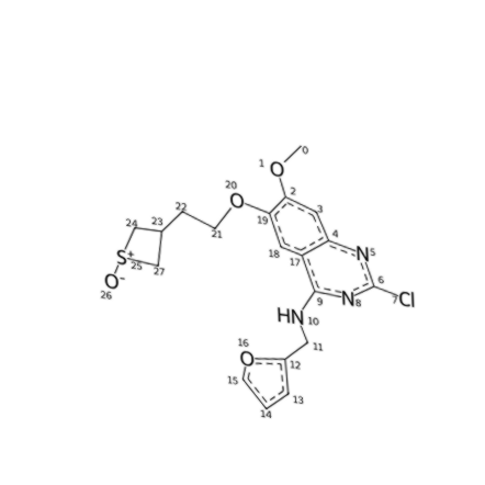 COc1cc2nc(Cl)nc(NCc3ccco3)c2cc1OCCC1C[S+]([O-])C1